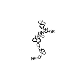 COC[C@@H]1CN(CCOc2ccc(NC(=O)Nc3cc(C(C)(C)C)nn3-c3ccc(C)cc3)c3ccccc23)CCO1